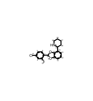 Fc1cc(Cl)ccc1C1Oc2cccc(C3CCCCN3)c2O1